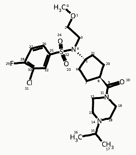 COCCN([C@H]1CC[C@H](C(=O)N2CCN(C(C)C)CC2)CC1)S(=O)(=O)c1ccc(F)c(Cl)c1